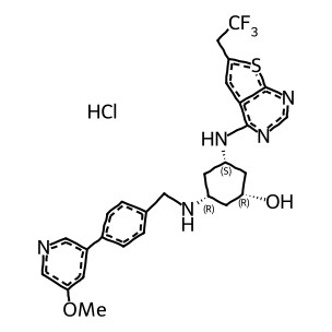 COc1cncc(-c2ccc(CN[C@H]3C[C@@H](O)C[C@@H](Nc4ncnc5sc(CC(F)(F)F)cc45)C3)cc2)c1.Cl